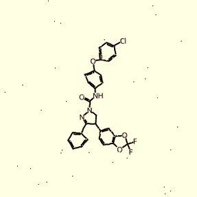 O=C(Nc1ccc(Oc2ccc(Cl)cc2)cc1)N1CC(c2ccc3c(c2)OC(F)(F)O3)C(c2ccccc2)=N1